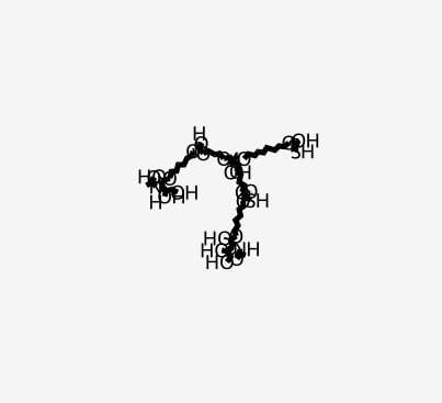 CC(=O)N/C(=C(\O)CO)[C@@H](O)OCCCCCCO[PH](=O)OCCCOCC(CO)(COCCCCCCCCOP(O)S)COCCCOP(=O)(S)OCCCCCCO[C@H](O)/C(NC(C)=O)=C(\O)CO